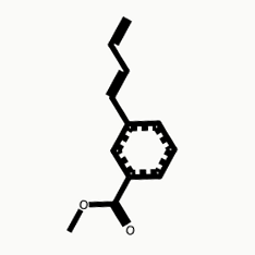 C=C/C=C/c1cccc(C(=O)OC)c1